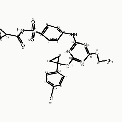 O=C(NS(=O)(=O)c1ccc(Nc2nc(NC3(c4ccc(Cl)cc4)CC3)nc(OCC(F)(F)F)n2)cc1)C1CC1